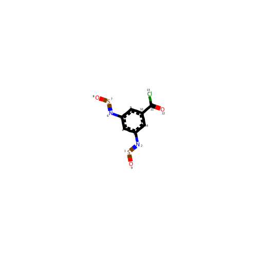 O=S=Nc1cc(N=S=O)cc(C(=O)Cl)c1